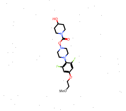 COCCOc1cc(F)c(N2CCN(OC(=O)N3CCC(O)CC3)CC2)c(F)c1